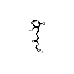 CCOC(=O)CCCc1c(Cl)ncnc1Cl